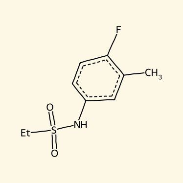 CCS(=O)(=O)Nc1ccc(F)c(C)c1